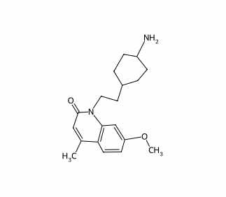 COc1ccc2c(C)cc(=O)n(CCC3CCC(N)CC3)c2c1